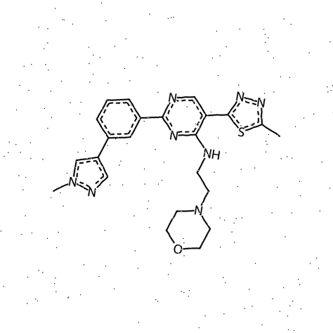 Cc1nnc(-c2cnc(-c3cccc(-c4cnn(C)c4)c3)nc2NCCN2CCOCC2)s1